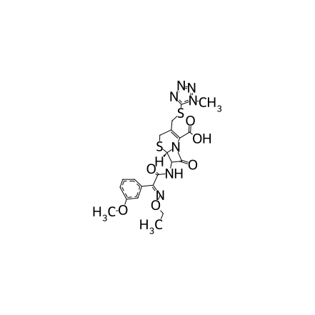 CCON=C(C(=O)NC1C(=O)N2C(C(=O)O)=C(CSc3nnnn3C)CS[C@@H]12)c1cccc(OC)c1